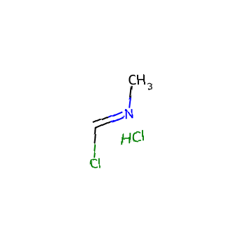 CN=CCl.Cl